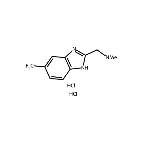 CNCc1nc2cc(C(F)(F)F)ccc2[nH]1.Cl.Cl